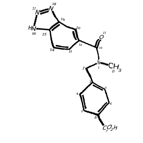 CN(Cc1ccc(C(=O)O)cc1)C(=O)c1ccc2[nH]nnc2c1